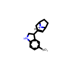 CN1C2C=C(C3CNc4ccc([N+](=O)[O-])cc43)CC1CC2